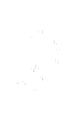 COc1ccc2c(c1)C1(c3ccccn3)OCCN1Cc1nc(C(N)=O)nn1-2